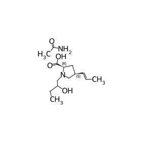 CC(N)=O.CC=C[C@@H]1C[C@H](C(=O)O)N(CC(O)CC)C1